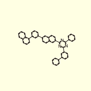 c1ccc(-c2cccc(-c3nc(-c4ccccc4)nc(-c4ccc5cc(-c6cccc(-c7cccc8ccccc78)c6)ccc5c4)n3)c2)cc1